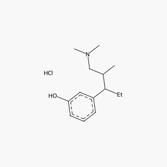 CCC(c1cccc(O)c1)C(C)CN(C)C.Cl